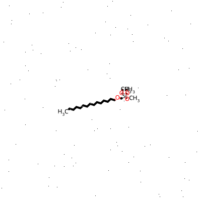 CCCCCCCCCCCCCCCOC[Si](OC)(OC)OC